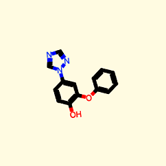 Oc1ccc(-n2cncn2)cc1Oc1ccccc1